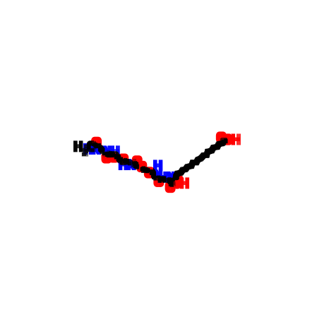 [CH2]C(=O)NCCNC(=O)COCCOCCNC(=O)COCCOCCNC(=O)CC[C@H](NC(=O)CCCCCCCCCCCCCCCCCCC(=O)O)C(=O)O